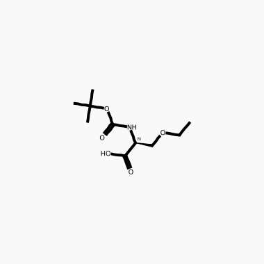 CCOC[C@H](NC(=O)OC(C)(C)C)C(=O)O